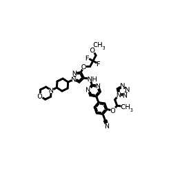 COCC(F)(F)COc1nn(C2CCC(N3CCOCC3)CC2)cc1Nc1ncc(-c2ccc(C#N)c(OC(C)Cn3cnnn3)c2)cn1